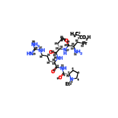 CC(=O)O.CCN1CCC[C@H]1C(=O)NC(=O)[C@H](CCCNC(=N)N)NC(=O)[C@H](CC(C)C)NC(=O)[C@H](N)CC(C)C